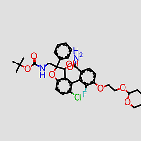 CC(C)(C)OC(=O)NCC1(c2ccccc2)Oc2ccc(Cl)c(-c3c(C(N)=O)ccc(OCCOC4CCCCO4)c3F)c2C1O